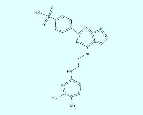 Cc1nc(NCCNc2nc(-c3ccc(S(C)(=O)=O)cc3)cc3nccn23)ccc1[N+](=O)[O-]